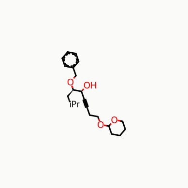 CC(C)C[C@@H](OCc1ccccc1)[C@@H](O)C#CCCOC1CCCCO1